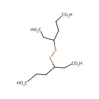 O=C(O)CCC(CC(=O)O)SSC(CCC(=O)O)CC(=O)O